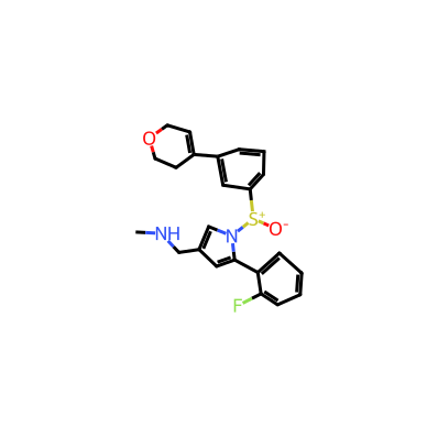 CNCc1cc(-c2ccccc2F)n([S+]([O-])c2cccc(C3=CCOCC3)c2)c1